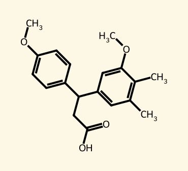 COc1ccc(C(CC(=O)O)c2cc(C)c(C)c(OC)c2)cc1